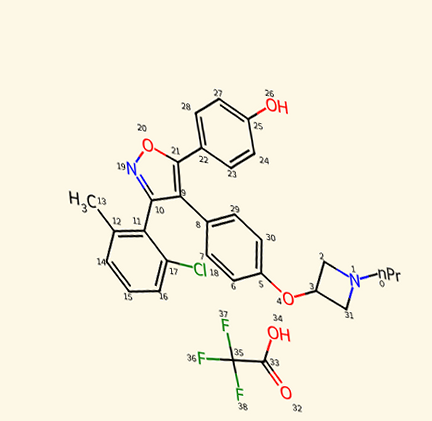 CCCN1CC(Oc2ccc(-c3c(-c4c(C)cccc4Cl)noc3-c3ccc(O)cc3)cc2)C1.O=C(O)C(F)(F)F